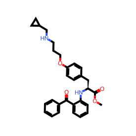 COC(=O)[C@H](Cc1ccc(OCCCNCC2CC2)cc1)Nc1ccccc1C(=O)c1ccccc1